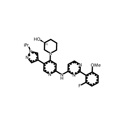 COc1cccc(F)c1-c1nccc(Nc2cc(N3CCC[C@H](O)C3)c(-c3cnn(C(C)C)c3)cn2)n1